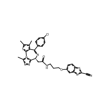 Cc1sc2c(c1C)C(c1ccc(Cl)cc1)=N[C@@H](CC(=O)NCCCOc1ccc3sc(C#N)nc3c1)c1nnc(C)n1-2